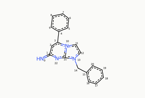 N=c1cc(-c2ccccc2)n2ccn(Cc3ccccc3)c2n1